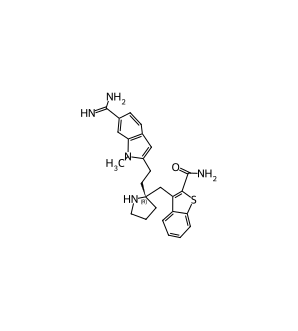 Cn1c(CC[C@@]2(Cc3c(C(N)=O)sc4ccccc34)CCCN2)cc2ccc(C(=N)N)cc21